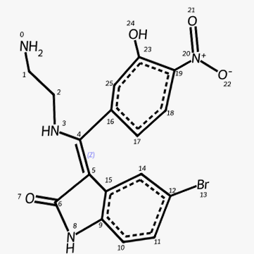 NCCN/C(=C1\C(=O)Nc2ccc(Br)cc21)c1ccc([N+](=O)[O-])c(O)c1